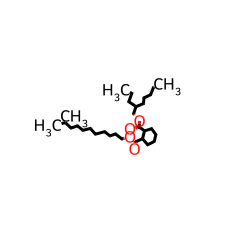 CCCCCC(CCC)COC(=O)C1CCCCC1C(=O)OCCCCCCCCCC(C)C